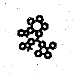 CC1(C)c2ccccc2-c2ccc(N(c3ccc4c(c3)-c3ccccc3-c3ccccc3N4c3ccccc3)c3ccc4c5ccccc5c5ccccc5c5ccccc5c5cc6c(cc5c4c3)sc3ccccc36)cc21